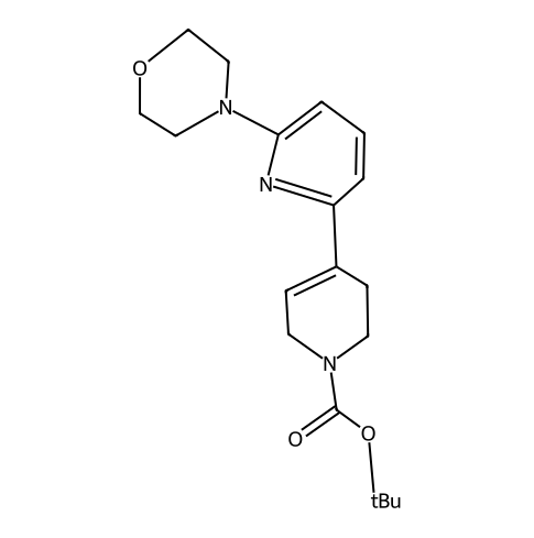 CC(C)(C)OC(=O)N1CC=C(c2cccc(N3CCOCC3)n2)CC1